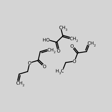 C=C(C)C(=O)O.C=CC(=O)OCC.C=CCOC(=O)C=C